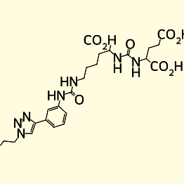 O=C(O)CCC(NC(=O)NC(CCCCNC(=O)Nc1cccc(-c2cn(CCF)nn2)c1)C(=O)O)C(=O)O